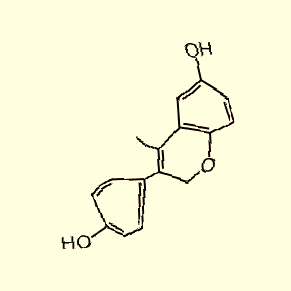 CC1=C(c2ccc(O)cc2)COc2ccc(O)cc21